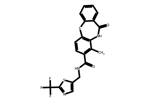 Cc1c(C(=O)NCc2cnc(C(F)(F)F)s2)ccc2c1NC(=O)c1ccccc1S2